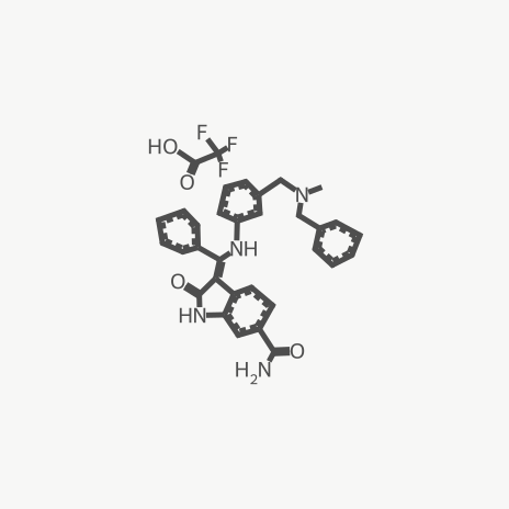 CN(Cc1ccccc1)Cc1cccc(NC(=C2C(=O)Nc3cc(C(N)=O)ccc32)c2ccccc2)c1.O=C(O)C(F)(F)F